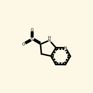 O=S(=O)=C1Cc2cccnc2N1